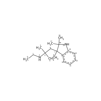 CCNC(C)(C)CC1(C)c2ccccc2NC1(C)C